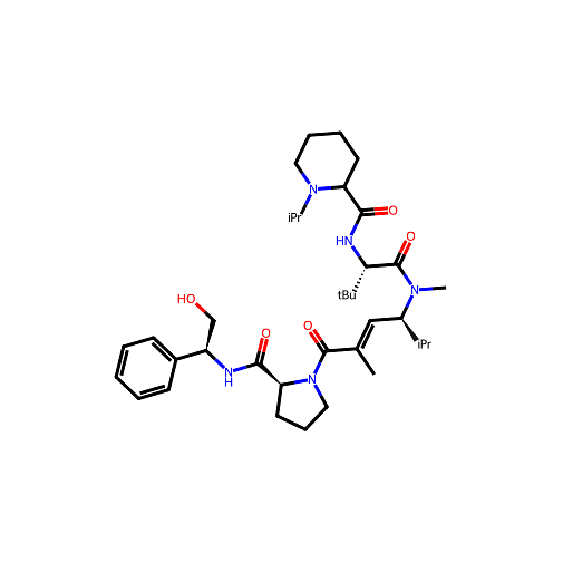 C/C(=C\[C@H](C(C)C)N(C)C(=O)[C@@H](NC(=O)C1CCCCN1C(C)C)C(C)(C)C)C(=O)N1CCC[C@H]1C(=O)N[C@H](CO)c1ccccc1